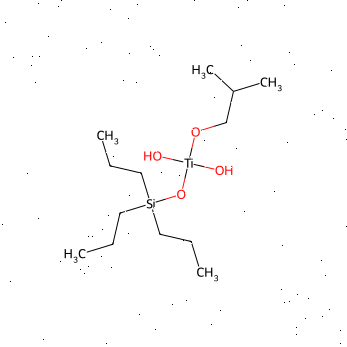 CCC[Si](CCC)(CCC)[O][Ti]([OH])([OH])[O]CC(C)C